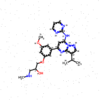 CNCC(O)COc1cc(OC)cc(-c2cc(Nc3ncccn3)n3ncc(C(C)C)c3n2)c1